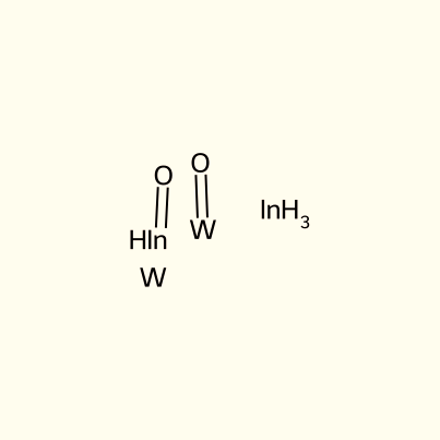 [InH3].[O]=[InH].[O]=[W].[W]